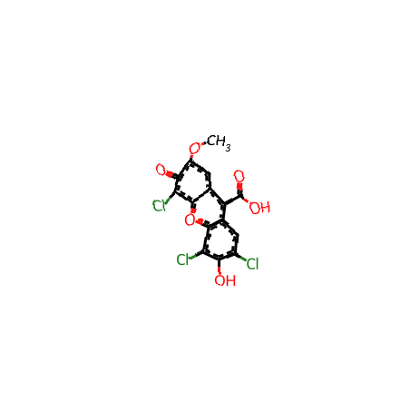 COc1cc2c(C(=O)O)c3cc(Cl)c(O)c(Cl)c3oc-2c(Cl)c1=O